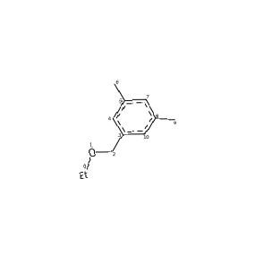 [CH2]COCc1cc(C)cc(C)c1